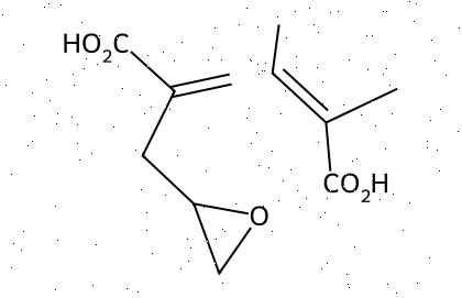 C=C(CC1CO1)C(=O)O.CC=C(C)C(=O)O